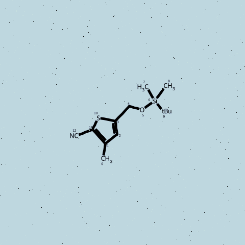 Cc1cc(CO[Si](C)(C)C(C)(C)C)sc1C#N